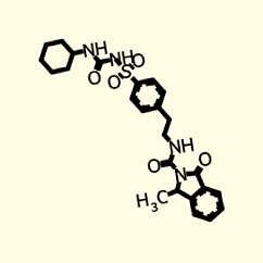 CC1c2ccccc2C(=O)N1C(=O)NCCc1ccc(S(=O)(=O)NC(=O)NC2CCCCC2)cc1